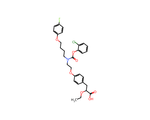 CCOC(Cc1ccc(OCCN(CCCCOc2ccc(F)cc2)C(=O)Oc2ccccc2Cl)cc1)C(=O)O